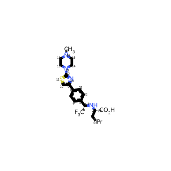 CC(C)C[C@H](N[C@@H](c1ccc(-c2csc(N3CCN(C)CC3)n2)cc1)C(F)(F)F)C(=O)O